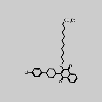 CCOC(=O)CCCCCCCCCCOC1=C(C2CCC(c3ccc(Cl)cc3)CC2)C(=O)c2ccccc2C1=O